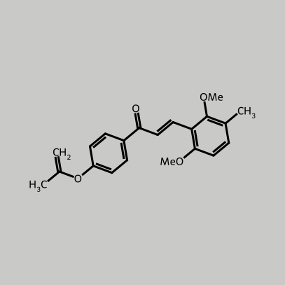 C=C(C)Oc1ccc(C(=O)/C=C/c2c(OC)ccc(C)c2OC)cc1